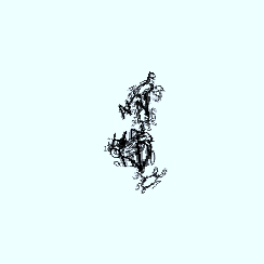 Cn1c(Cc2ccccc2)cnc1[C@@H]1OC(C)(C)O[C@H]1C(=O)NCC1CCN(c2ccc(F)cc2C#N)CC1